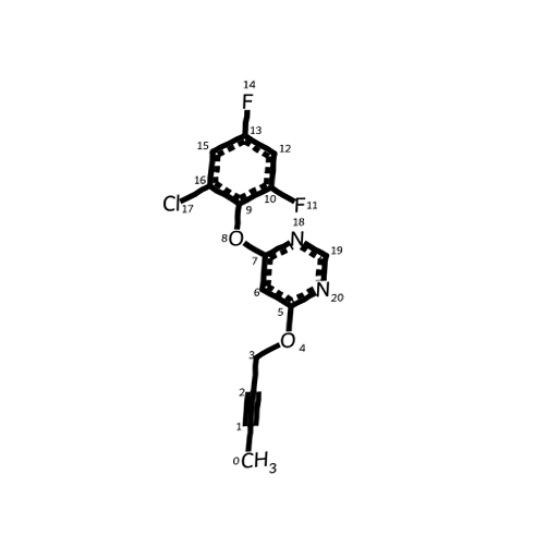 CC#CCOc1cc(Oc2c(F)cc(F)cc2Cl)ncn1